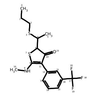 CCCSC(C)C1SC(NC)=C(c2cccc(C(F)(F)F)c2)C1=O